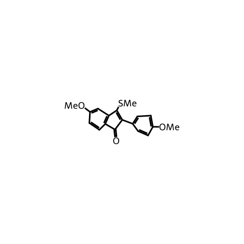 COc1ccc(C2=C(SC)c3cc(OC)ccc3C2=O)cc1